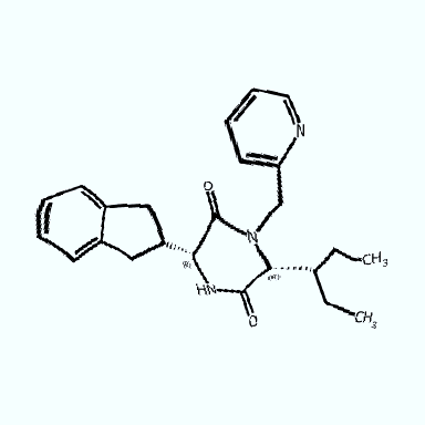 CCC(CC)[C@@H]1C(=O)N[C@H](C2Cc3ccccc3C2)C(=O)N1Cc1ccccn1